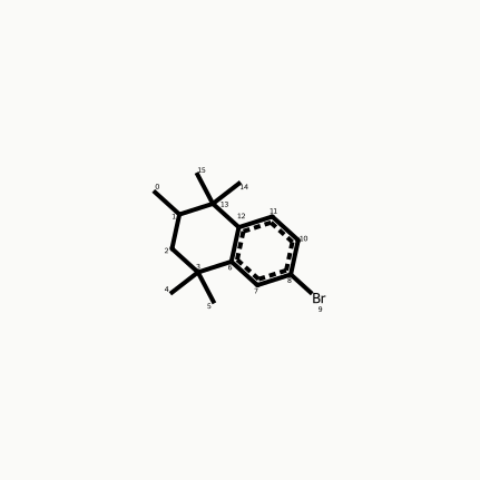 CC1CC(C)(C)c2cc(Br)ccc2C1(C)C